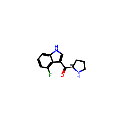 O=C(c1c[nH]c2cccc(F)c12)[C@H]1CCCN1